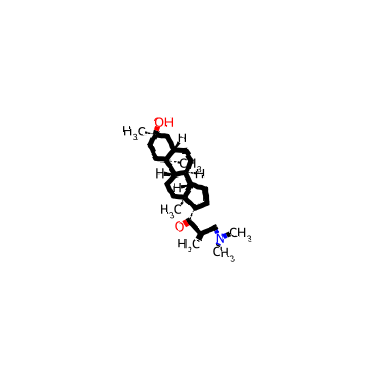 C=C(CN(C)C)C(=O)[C@H]1CC[C@H]2[C@@H]3CC[C@H]4C[C@](C)(O)CC[C@]4(C)[C@H]3CC[C@]12C